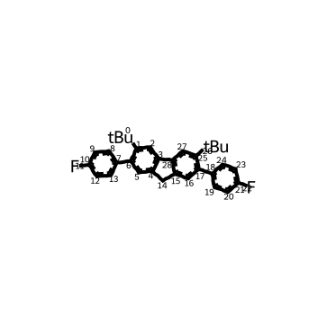 CC(C)(C)c1cc2c(cc1-c1ccc(F)cc1)Cc1cc(-c3ccc(F)cc3)c(C(C)(C)C)cc1-2